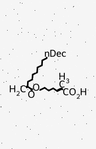 C=C(CCCCCCCCCCCCCCCCCC)C(=O)OCCCCC=C(C)C(=O)O